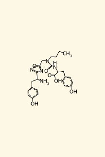 CCCCN(Cc1nc([C@@H](N)Cc2ccc(O)cc2)no1)C(=O)N[C@@H](Cc1ccc(O)cc1)C(=O)O